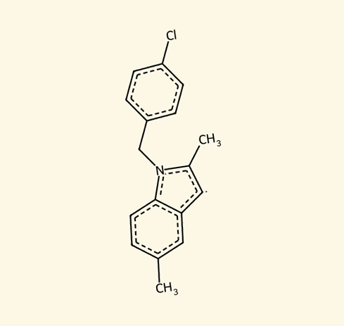 Cc1ccc2c([c]c(C)n2Cc2ccc(Cl)cc2)c1